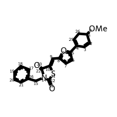 COC1C=CC(c2ccc(/C=C3\SC(=O)N(Cc4ccccc4)C3=O)o2)=CC1